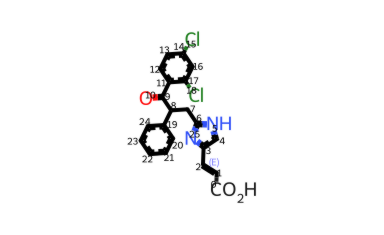 O=C(O)/C=C/c1c[nH]c(CC(C(=O)c2ccc(Cl)cc2Cl)c2ccccc2)n1